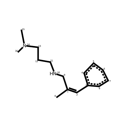 CC(=Cc1ccccc1)CNCCCN(C)C